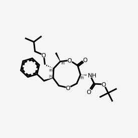 CC(C)COC[C@H]1[C@H](Cc2ccccc2)COC[C@@H](NC(=O)OC(C)(C)C)C(=O)O[C@@H]1C